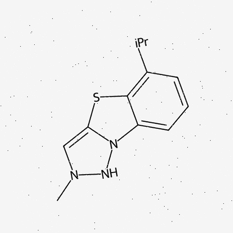 CC(C)c1cccc2c1SC1=CN(C)NN12